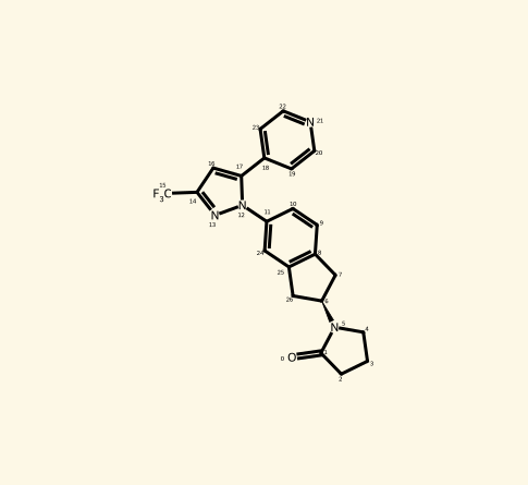 O=C1CCCN1[C@@H]1Cc2ccc(-n3nc(C(F)(F)F)cc3-c3ccncc3)cc2C1